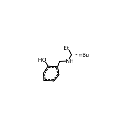 CCCC[C@@H](CC)NCc1ccccc1O